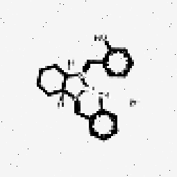 Oc1ccccc1C=[N+]1[Co][N+](=Cc2ccccc2O)[C@@H]2CCCC[C@H]21.[Br-]